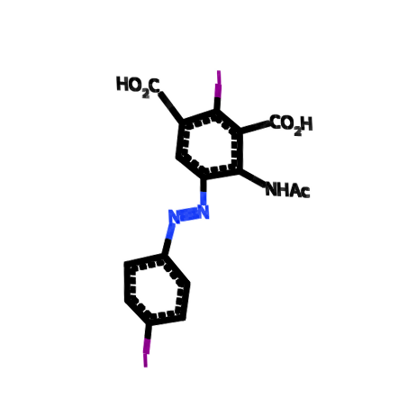 CC(=O)Nc1c(N=Nc2ccc(I)cc2)cc(C(=O)O)c(I)c1C(=O)O